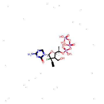 C#CC1(F)C(CO)[C@@H]([C@@H](C)OP(=O)(O)OP(=O)(O)OP(=O)(O)O)O[C@H]1n1cnc(N)nc1=O